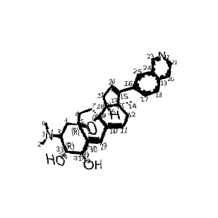 CN(C)C1C[C@@]23CC[C@@]4(O2)C(=CC[C@]2(C)C(c5ccc6ccncc6c5)=CC[C@H]24)C=C3[C@@H](O)[C@@H]1O